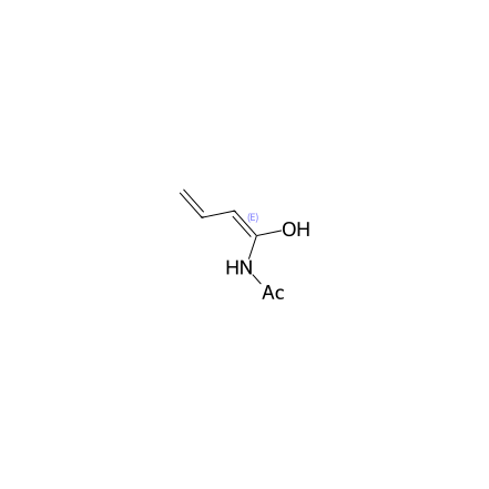 C=C/C=C(/O)NC(C)=O